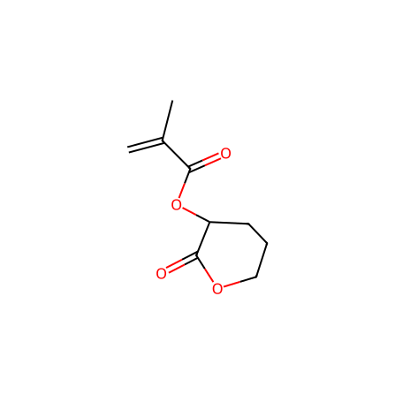 C=C(C)C(=O)OC1CCCOC1=O